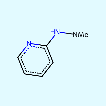 CNNc1ccccn1